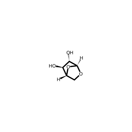 O[C@@H]1[C@H]2OC[C@@H](O2)[C@H]1O